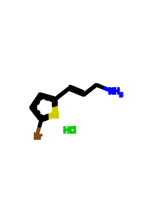 Cl.NCC=Cc1ccc(Br)s1